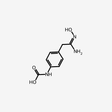 N/C(Cc1ccc(NC(=O)O)cc1)=N/O